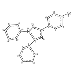 Brc1ccc(-c2nc(-c3ccccc3)n(-c3ccccc3)n2)cc1